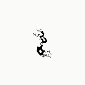 C#CCc1c(C)nc2c(OCc3cccc(NC(C)=O)c3C)cccn12